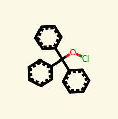 ClOC(c1ccccc1)(c1ccccc1)c1ccccc1